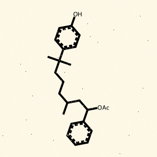 CC(=O)OC(CC(C)CCCC(C)(C)c1ccc(O)cc1)c1ccccc1